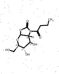 CCCC(=O)N1C(=O)OC2O[C@H](CO)[C@@H](O)[C@H](O)[C@H]21